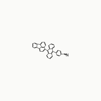 N#Cc1ccc(-c2c3ccccc3c(-c3ccc4c5c(cccc35)-c3ccccc3-4)c3ccccc23)cc1